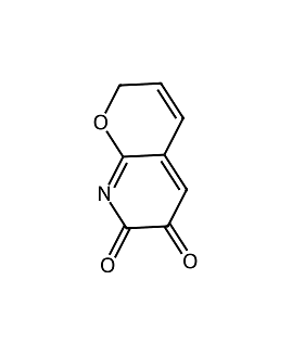 O=C1C=C2C=CCOC2=NC1=O